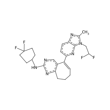 Cc1nc2ccc(C3=CCCCc4nc(NC5CCC(F)(F)CC5)ncc43)nc2n1CC(F)F